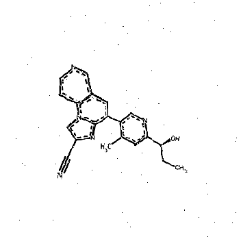 CC[C@H](O)c1cc(C)c(-c2cc3cnccc3n3cc(C#N)nc23)cn1